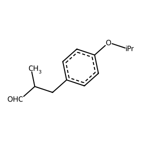 CC(C=O)Cc1ccc(OC(C)C)cc1